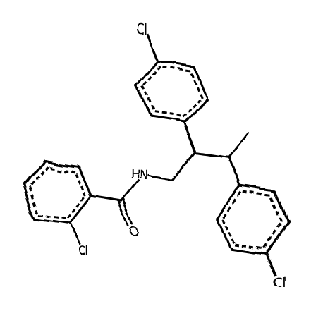 CC(c1ccc(Cl)cc1)C(CNC(=O)c1ccccc1Cl)c1ccc(Cl)cc1